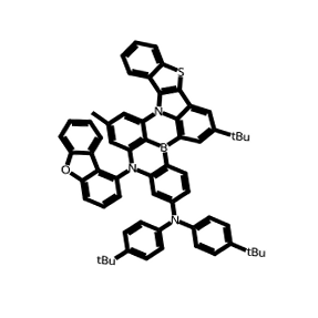 Cc1cc2c3c(c1)-n1c4c(cc(C(C)(C)C)cc4c4sc5ccccc5c41)B3c1ccc(N(c3ccc(C(C)(C)C)cc3)c3ccc(C(C)(C)C)cc3)cc1N2c1cccc2oc3ccccc3c12